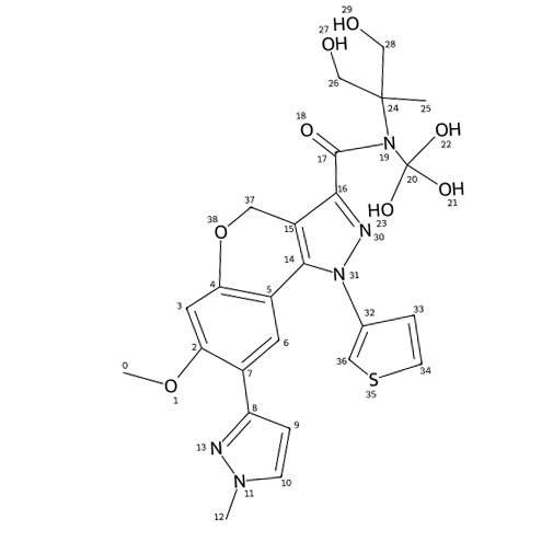 COc1cc2c(cc1-c1ccn(C)n1)-c1c(c(C(=O)N(C(O)(O)O)C(C)(CO)CO)nn1-c1ccsc1)CO2